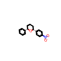 O=[N+]([O-])c1ccc([C@H]2[CH]CC[C@@H](c3ccccc3)O2)cc1